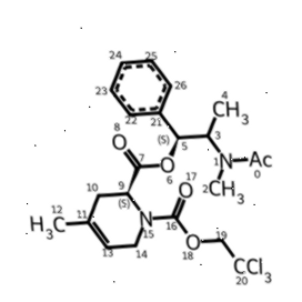 CC(=O)N(C)C(C)[C@@H](OC(=O)[C@@H]1CC(C)=CCN1C(=O)OCC(Cl)(Cl)Cl)c1ccccc1